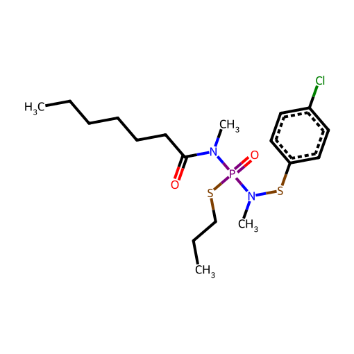 CCCCCCC(=O)N(C)P(=O)(SCCC)N(C)Sc1ccc(Cl)cc1